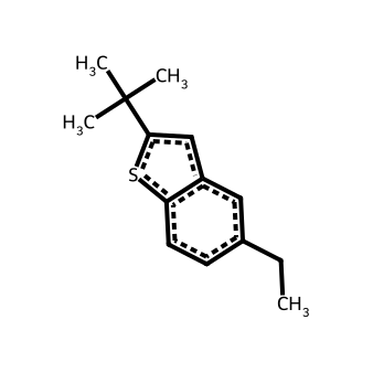 CCc1ccc2sc(C(C)(C)C)cc2c1